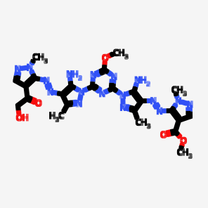 COC(=O)c1cnn(C)c1N=Nc1c(C)nn(-c2nc(OC)nc(-n3nc(C)c(N=Nc4c(C(=O)CO)cnn4C)c3N)n2)c1N